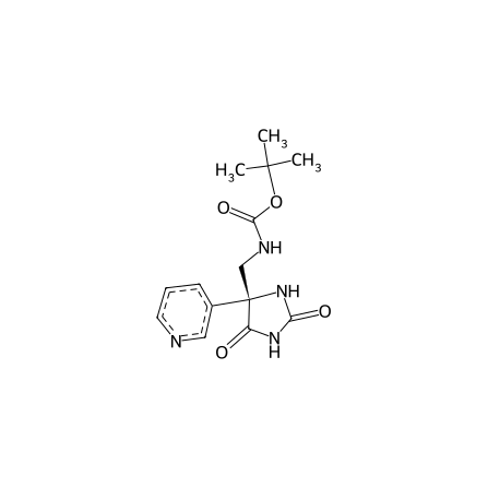 CC(C)(C)OC(=O)NC[C@@]1(c2cccnc2)NC(=O)NC1=O